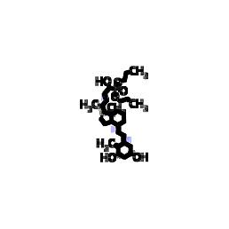 C=C1/C(=C\C=C2/CCC[C@@]3(C)C2CC[C@@H]3[C@H](C)/C=C/C(O)P(=O)(OCCC)OCCC)C[C@@H](O)C[C@@H]1O